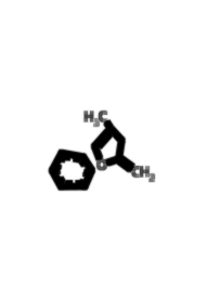 C=C1CC(C)=CO1.c1ccccc1